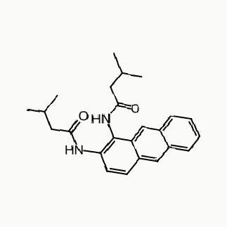 CC(C)CC(=O)Nc1ccc2cc3ccccc3cc2c1NC(=O)CC(C)C